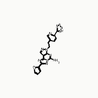 Nc1nc2c(cnn2CCc2ccc(-c3nnn[nH]3)nc2)c2nc(-c3ccco3)nn12